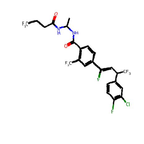 CC(NC(=O)CCC(F)(F)F)NC(=O)c1ccc(/C(F)=C/C(c2ccc(F)c(Cl)c2)C(F)(F)F)cc1C(F)(F)F